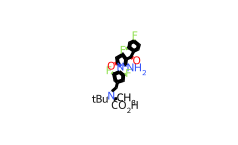 C[C@@H](C(=O)O)N(CCc1cc(F)c(-n2c(N)c(C(=O)c3ccc(F)cc3F)ccc2=O)c(F)c1)C(C)(C)C